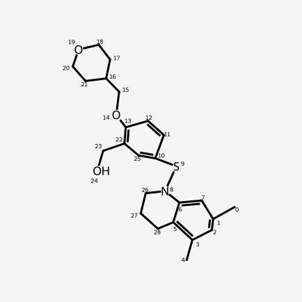 Cc1cc(C)c2c(c1)N(Sc1ccc(OCC3CCOCC3)c(CO)c1)CCC2